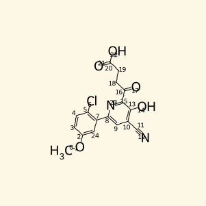 COc1ccc(Cl)c(-c2cc(C#N)c(O)c(C(=O)CCC(=O)O)n2)c1